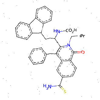 CC(C)Cn1c(C(CC2c3ccccc3-c3ccccc32)NC(=O)O)c(-c2ccccc2)c2cc(C(N)=S)ccc2c1=O